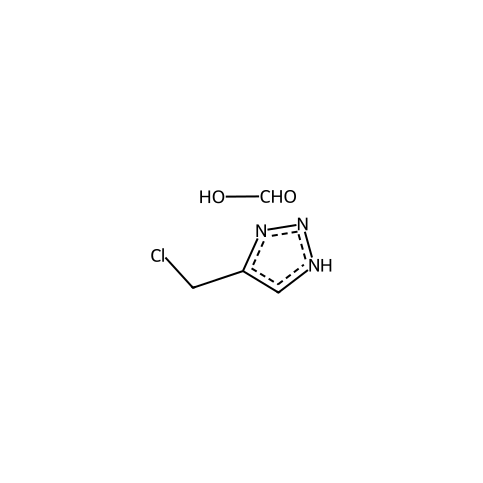 ClCc1c[nH]nn1.O=CO